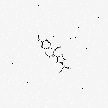 COc1ccc2c(c1)CCN(C1CCN(C(=O)O)C1)C2=O